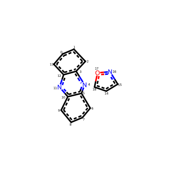 c1ccc2nc3ccccc3nc2c1.c1cnoc1